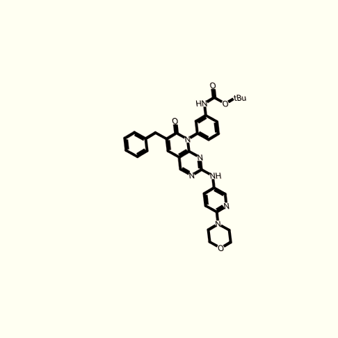 CC(C)(C)OC(=O)Nc1cccc(-n2c(=O)c(Cc3ccccc3)cc3cnc(Nc4ccc(N5CCOCC5)nc4)nc32)c1